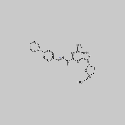 Nc1nc(N/N=C/c2ccc(-c3ccccc3)cc2)nc2c1ncn2[C@H]1CC[C@@H](CO)O1